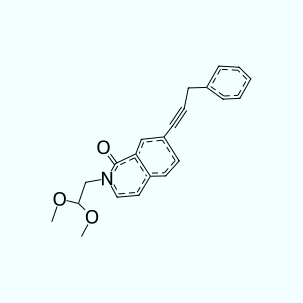 COC(Cn1ccc2ccc(C#CCc3ccccc3)cc2c1=O)OC